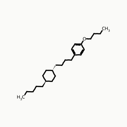 CCCCC[C@H]1CC[C@H](CCCCc2ccc(OCCCC)cc2)CC1